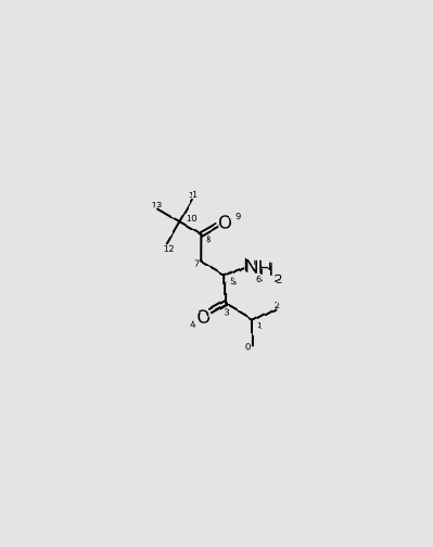 CC(C)C(=O)C(N)CC(=O)C(C)(C)C